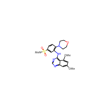 CNS(=O)(=O)c1ccc(N2CCOCC2)c(Nc2ncnc3cc(OC)cc(OC)c23)c1